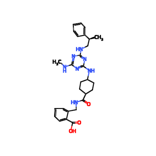 CNc1nc(NC[C@H](C)c2ccccc2)nc(NC2CCC(C(=O)NCc3ccccc3C(=O)O)CC2)n1